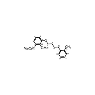 COOc1cccc(OCCCCc2ccccc2C)c1OC